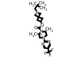 C[C@@H]1CN(c2ncc(C(F)(F)F)cn2)C[C@@H](C)N1C(=O)OC1CC2(C1)CN(CC(C)(C)C)C2